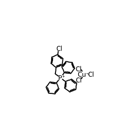 Clc1ccc(C[P+](c2ccccc2)(c2ccccc2)c2ccccc2)cc1.[Cl][Cu-]([Cl])[Cl]